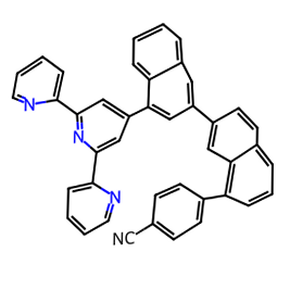 N#Cc1ccc(-c2cccc3ccc(-c4cc(-c5cc(-c6ccccn6)nc(-c6ccccn6)c5)c5ccccc5c4)cc23)cc1